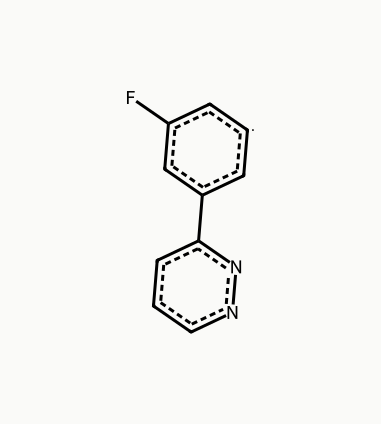 Fc1c[c]cc(-c2cccnn2)c1